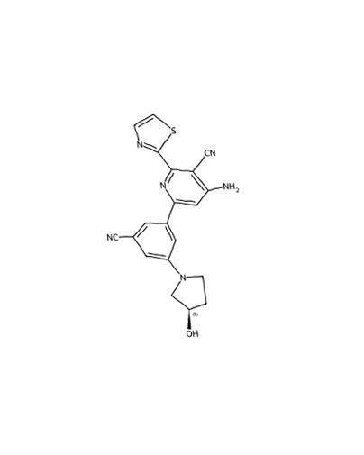 N#Cc1cc(-c2cc(N)c(C#N)c(-c3nccs3)n2)cc(N2CC[C@@H](O)C2)c1